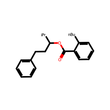 CCCCc1ccccc1C(=O)OC(CCc1ccccc1)C(C)C